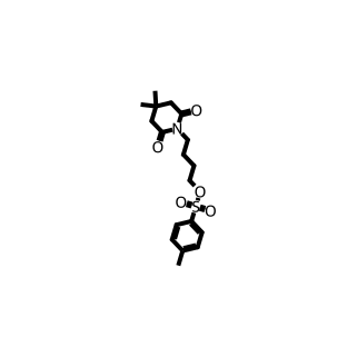 Cc1ccc(S(=O)(=O)OCCCCN2C(=O)CC(C)(C)CC2=O)cc1